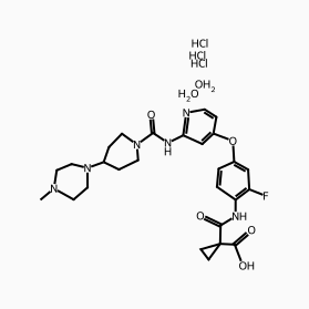 CN1CCN(C2CCN(C(=O)Nc3cc(Oc4ccc(NC(=O)C5(C(=O)O)CC5)c(F)c4)ccn3)CC2)CC1.Cl.Cl.Cl.O.O